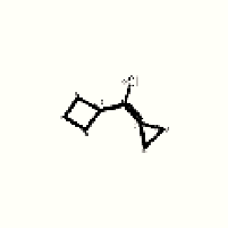 ClC(=C1CC1)C1CCC1